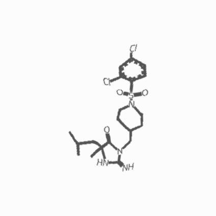 CC(C)CC1(C)NC(=N)N(CC2CCN(S(=O)(=O)c3ccc(Cl)cc3Cl)CC2)C1=O